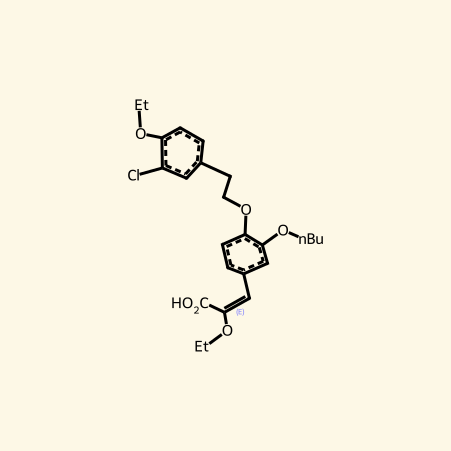 CCCCOc1cc(/C=C(/OCC)C(=O)O)ccc1OCCc1ccc(OCC)c(Cl)c1